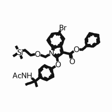 CC(=O)NC(C)(C)c1ccc(Oc2c(C(=O)OCc3ccccc3)c3cc(Br)ccc3n2COCC[Si](C)(C)C)cc1